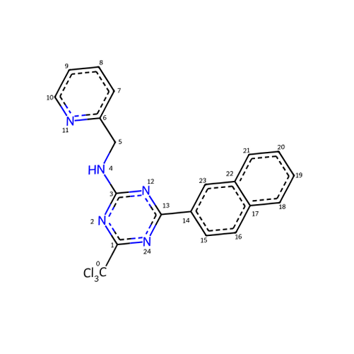 ClC(Cl)(Cl)c1nc(NCc2ccccn2)nc(-c2ccc3ccccc3c2)n1